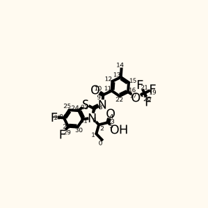 CCC(C(=O)O)n1c(=NC(=O)c2cc(C)cc(OC(F)(F)F)c2)sc2cc(F)c(F)cc21